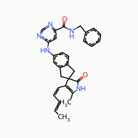 CC=C/C=C\C1=C(C)NC(=O)C12Cc1ccc(Nc3cc(C(=O)NCc4ccccc4)ncn3)cc1C2